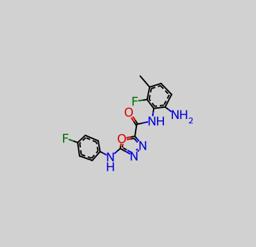 Cc1ccc(N)c(NC(=O)c2nnc(Nc3ccc(F)cc3)o2)c1F